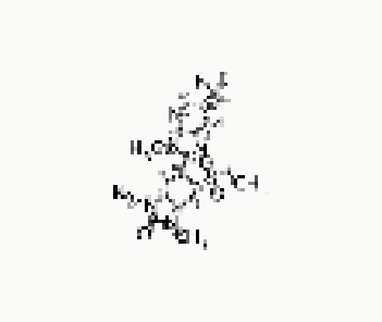 CCS(=O)(=O)c1cc2c(cc1-c1nc3cc(C(F)(F)F)cnc3n1C)n(C#N)c(=O)n2C